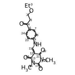 CCOCCC(=O)c1ccc(NC=C2C(=O)N(C)C(=O)N(C)C2=O)cc1